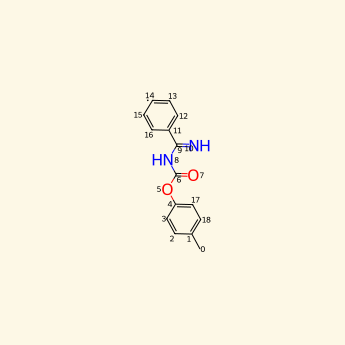 Cc1ccc(OC(=O)NC(=N)c2cc[c]cc2)cc1